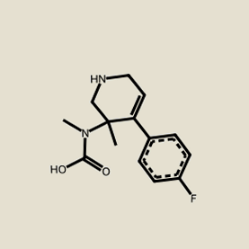 CN(C(=O)O)C1(C)CNCC=C1c1ccc(F)cc1